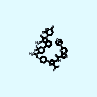 CN(C[C@H]1CC[C@H](n2cc(NC(=O)c3cnn4ccc(N5C6COCC5C6)nc34)c(C(F)F)n2)CC1)C1CCN(c2cccc3c2n(C)c(=O)n3C2CCC(=O)NC2=O)CC1(F)F